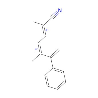 C=C(/C(C)=C\C=C(/C)C#N)c1ccccc1